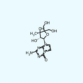 C[C@]1(O)[C@@H](O)[C@H](n2ccn3c(=O)nc(N)nc23)OC1(CO)CO